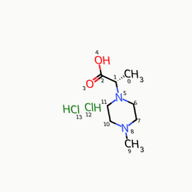 C[C@@H](C(=O)O)N1CCN(C)CC1.Cl.Cl